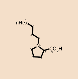 CCCCCCCCCN1CCCC1C(=O)O